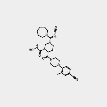 Cc1cc(C#N)ccc1N1CCN(C(=O)[C@H]2CCN(/C(=N/C#N)N3CCCCCC3)C[C@@H]2C(=O)NO)CC1